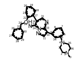 CN1CCN(c2cccc(-c3cnn4c(N)c(-c5ccccc5OCc5ccccc5)cnc34)c2)CC1